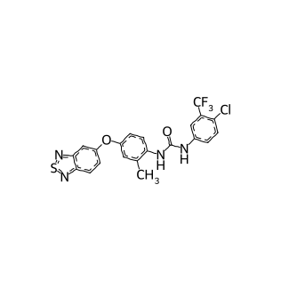 Cc1cc(Oc2ccc3nsnc3c2)ccc1NC(=O)Nc1ccc(Cl)c(C(F)(F)F)c1